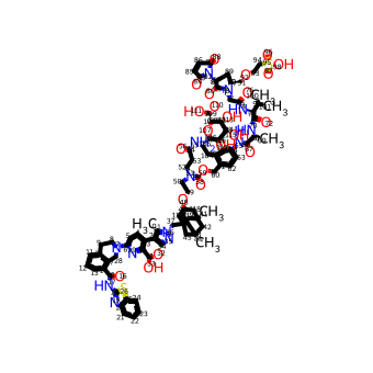 Cc1c(-c2ccc(N3CCc4cccc(C(=O)Nc5nc6ccccc6s5)c4C3)nc2C(=O)O)cnn1CC12CC3(C)CC(C)(C1)CC(OCCN(CCC(N)=O)C(=O)OCc1ccc(NC(=O)[C@H](C)NC(=O)[C@@H](NC(=O)CN4C(=O)[C@@H](N5C(=O)C=CC5=O)C[C@H]4COCCS(=O)(=O)O)C(C)C)cc1CC[C@@H]1O[C@H](C(=O)O)[C@@H](O)[C@H](O)[C@H]1O)(C3)C2